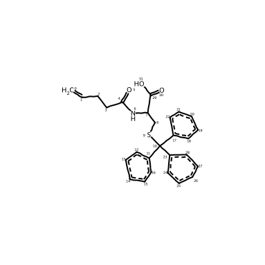 C=CCCC(=O)NC(CSC(c1ccccc1)(c1ccccc1)c1ccccc1)C(=O)O